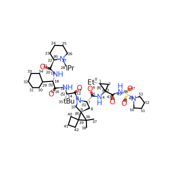 CC[C@@H]1C[C@]1(NC(=O)[C@@H]1C[C@@]2(CN1C(=O)[C@@H](NC(=O)[C@@H](NC(=O)[C@H]1CCCCN1C(C)C)C1CCCCC1)C(C)(C)C)C(C)(C)C21CCC1)C(=O)NS(=O)(=O)N1CCCC1